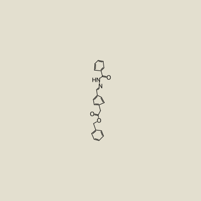 O=C(Cc1ccc(/C=N/NC(=O)c2ccccc2)cc1)OCc1ccccc1